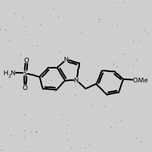 COc1ccc(Cn2cnc3cc(S(N)(=O)=O)ccc32)cc1